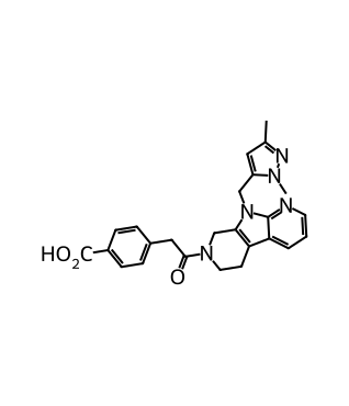 Cc1cc(Cn2c3c(c4cccnc42)CCN(C(=O)Cc2ccc(C(=O)O)cc2)C3)n(C)n1